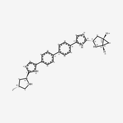 C[C@H]1CN[C@H](c2ncc(-c3ccc(-c4ccc(-c5cnc([C@@H]6C[C@@H]7C[C@@H]7N6)[nH]5)cc4)cc3)[nH]2)C1